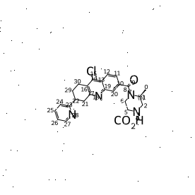 C[C@H]1CN(C(=O)O)CCN1C(=O)c1ccc2c(Cl)c3c(nc2c1)CC(c1ccccn1)CC3